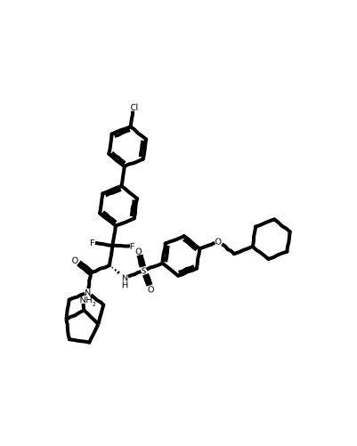 NC1C2CCC1CN(C(=O)[C@@H](NS(=O)(=O)c1ccc(OCC3CCCCC3)cc1)C(F)(F)c1ccc(-c3ccc(Cl)cc3)cc1)C2